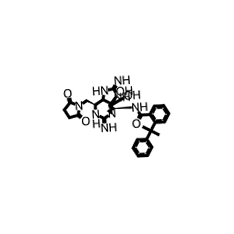 CC(C)(c1ccccc1)c1ccccc1C(=O)N[C@H]1CN2C(=N)N[C@@H](CN3C(=O)CCC3=O)C3NC(=N)NC32C1(O)O